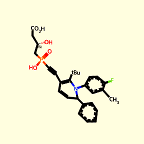 Cc1cc(N2C(C(C)(C)C)=C(C#CP(=O)(O)C[C@@H](O)CC(=O)O)C=CC2c2ccccc2)ccc1F